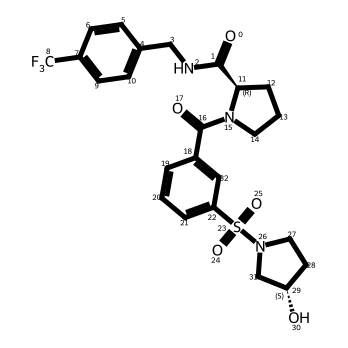 O=C(NCc1ccc(C(F)(F)F)cc1)[C@H]1CCCN1C(=O)c1cccc(S(=O)(=O)N2CC[C@H](O)C2)c1